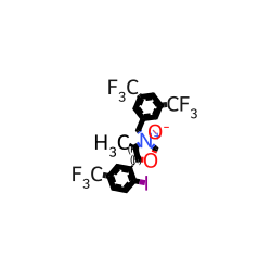 C[C@@H]1[C@@H](c2cc(C(F)(F)F)ccc2I)OC[N+]1([O-])Cc1cc(C(F)(F)F)cc(C(F)(F)F)c1